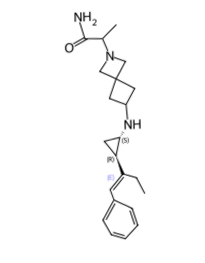 CC/C(=C\c1ccccc1)[C@H]1C[C@@H]1NC1CC2(C1)CN(C(C)C(N)=O)C2